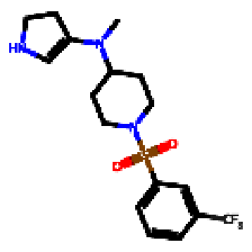 CN(C1=CNCC1)C1CCN(S(=O)(=O)c2cccc(C(F)(F)F)c2)CC1